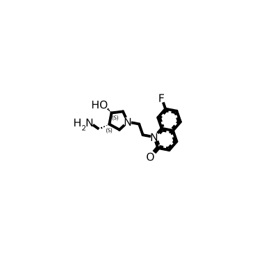 NC[C@H]1CN(CCn2c(=O)ccc3ccc(F)cc32)C[C@H]1O